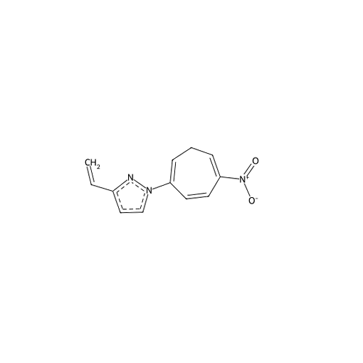 C=Cc1ccn(C2=CCC=C([N+](=O)[O-])C=C2)n1